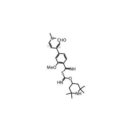 COc1cc(C(/C=C\N(C)C)=C/C=O)ccc1C(=N)SC(=N)OC1CC(C)(C)NC(C)(C)C1